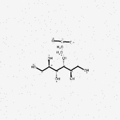 O.O.OC[C@@H](O)[C@@H](O)[C@H](O)[C@H](O)CO.[Cl][Ca][Cl]